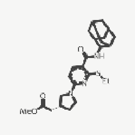 CCSc1nc(N2CC[C@H](CC(=O)OC)C2)ccc1C(=O)NC1C2CC3CC(C2)CC1C3